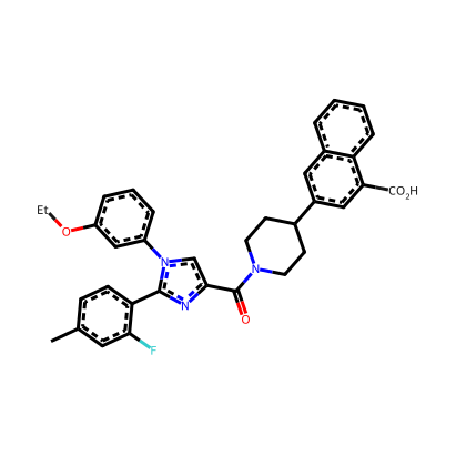 CCOc1cccc(-n2cc(C(=O)N3CCC(c4cc(C(=O)O)c5ccccc5c4)CC3)nc2-c2ccc(C)cc2F)c1